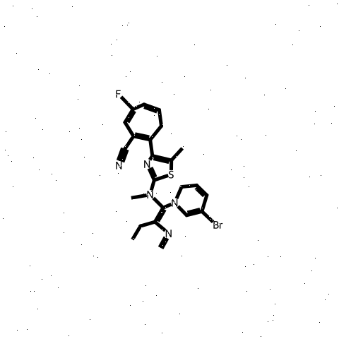 C=N/C(CC)=C(\N1C=C(Br)C=CC1)N(C)c1nc(C2=C(C#N)C=C(F)C=CC2)c(C)s1